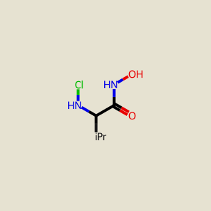 CC(C)C(NCl)C(=O)NO